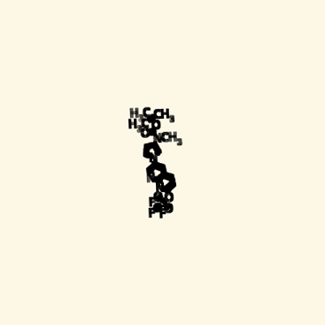 CN(C(=O)OC(C)(C)C)[C@@H]1CCN(c2cnc3nc(OS(=O)(=O)C(F)(F)F)ccc3c2)C1